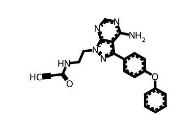 C#CC(=O)NCCn1nc(-c2ccc(Oc3ccccc3)cc2)c2c(N)ncnc21